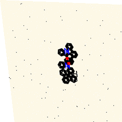 C1=C(N(c2ccccc2)c2ccc(-c3cccc4c5ccccc5n5c6ccccc6c(-c6ccccc6)c5c34)cc2)C=C2[C@H](C1)c1ccccc1C2(c1ccccc1)c1ccccc1